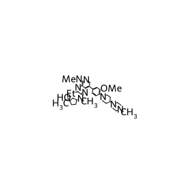 CCc1nc2c(NC)ncc(-c3ccc(N4CCC(N5CCN(C)CC5)CC4)c(OC)c3)c2nc1N(C)C1CCC(C)(O)C1